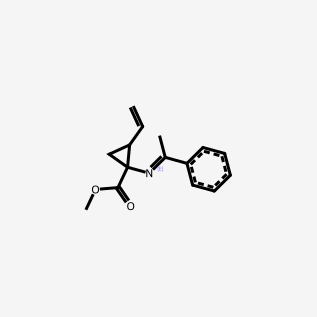 C=CC1CC1(/N=C(\C)c1ccccc1)C(=O)OC